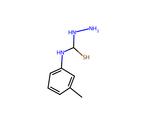 Cc1cccc(NC(S)NN)c1